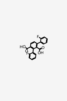 O=C(O)c1ccc(-c2ccccc2F)c(C(=O)O)c1-c1ccccc1F